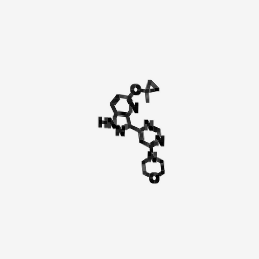 CC1(Oc2ccc3[nH]nc(-c4cc(N5CCOCC5)ncn4)c3n2)CC1